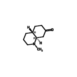 CN1CCC[C@@H]2CCC(=O)C[C@H]21